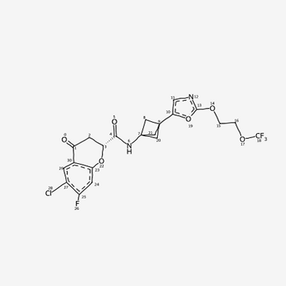 O=C1C[C@H](C(=O)NC23CC(c4cnc(OCCOC(F)(F)F)o4)(C2)C3)Oc2cc(F)c(Cl)cc21